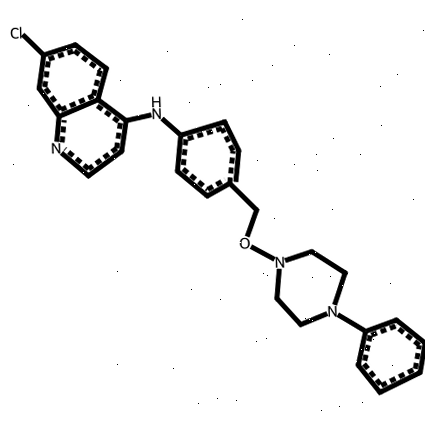 Clc1ccc2c(Nc3ccc(CON4CCN(c5ccccc5)CC4)cc3)ccnc2c1